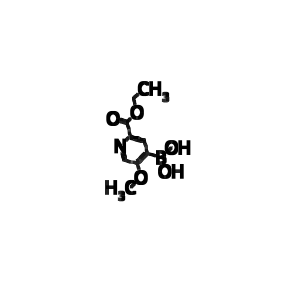 CCOC(=O)c1cc(B(O)O)c(OC)cn1